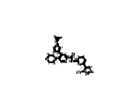 CC(C)n1nnnc1-c1cccc(NC(=O)c2cc(-c3cnn(C4CC4)c3)c(N3CCOCC3)cn2)n1